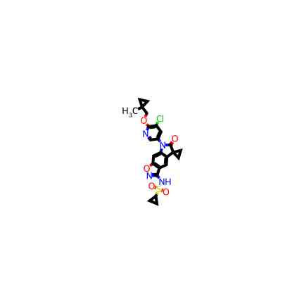 CC1(COc2ncc(N3C(=O)C4(CC4)c4cc5c(NS(=O)(=O)C6CC6)noc5cc43)cc2Cl)CC1